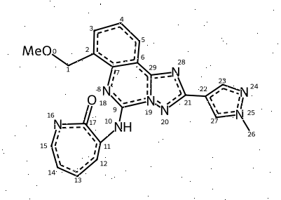 COCc1cccc2c1nc(Nc1ccccnc1=O)n1nc(-c3cnn(C)c3)nc21